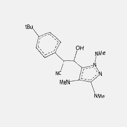 CNc1nn(NC)c(C(O)C(C#N)c2ccc(C(C)(C)C)cc2)c1NC